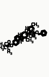 CC1=C2C[C@H]3[C@@H](CC=C4C[C@@H](OC(=O)C(C)(C)C)CC[C@@]43C)[C@@H]2CC[C@@]2(C1)O[C@@H]1C[C@H](C)CN(C(=O)OCc3ccccc3)[C@H]1[C@H]2C